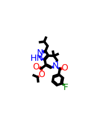 CC(C)Cc1n[nH]c2c1C(C)(C)CN(C(=O)c1cccc(F)c1)C=C2C(=O)OC(C)C